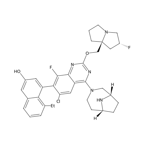 CCc1cccc2cc(O)cc(-c3c(Cl)cc4c(N5CC[C@H]6CC[C@@H](C5)N6)nc(OC[C@@]56CCCN5C[C@H](F)C6)nc4c3F)c12